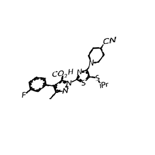 Cc1nn(-c2nc(N3CCC(C#N)CC3)c(SC(C)C)s2)c(C(=O)O)c1-c1cccc(F)c1